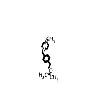 CC(C)OCCc1ccc(CN2CCN(C)CC2)cc1